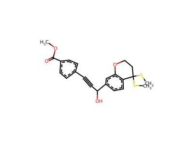 COC(=O)c1ccc(C#CC(O)c2ccc3c(c2)OCCC3(SC)SC)cc1